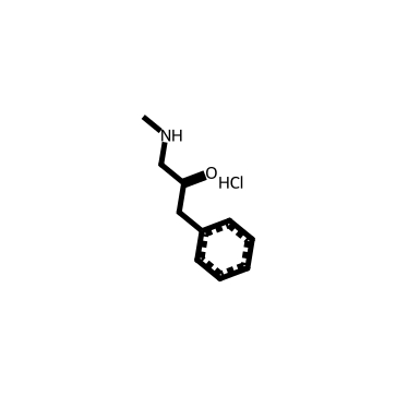 CNCC(=O)Cc1ccccc1.Cl